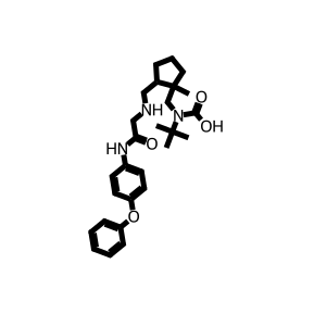 CC1(CN(C(=O)O)C(C)(C)C)CCCC1CNCC(=O)Nc1ccc(Oc2ccccc2)cc1